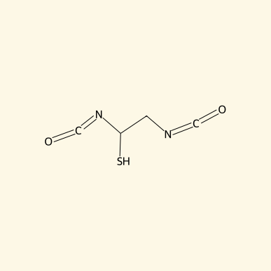 O=C=NCC(S)N=C=O